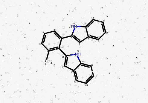 Cc1cccc(-c2cc3ccccc3[nH]2)c1-c1cc2ccccc2[nH]1